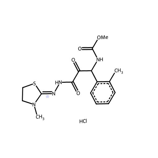 COC(=O)NC(C(=O)C(=O)N/N=C1\SCCN1C)c1ccccc1C.Cl